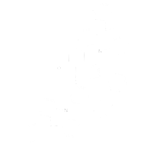 CC1(C)c2ccccc2-c2cccc(N(c3ccccc3)c3cc4c5c(c3)C3(c6ccccc6Oc6ccccc63)c3cc(N(c6ccccc6)c6cccc7c6C(C)(C)c6ccccc6-7)cc(c3-5)-c3ccccc3-c3ccccc3-4)c21